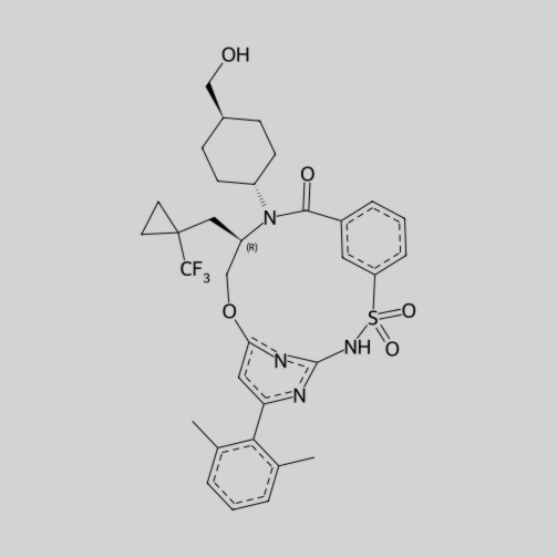 Cc1cccc(C)c1-c1cc2nc(n1)NS(=O)(=O)c1cccc(c1)C(=O)N([C@H]1CC[C@H](CO)CC1)[C@H](CC1(C(F)(F)F)CC1)CO2